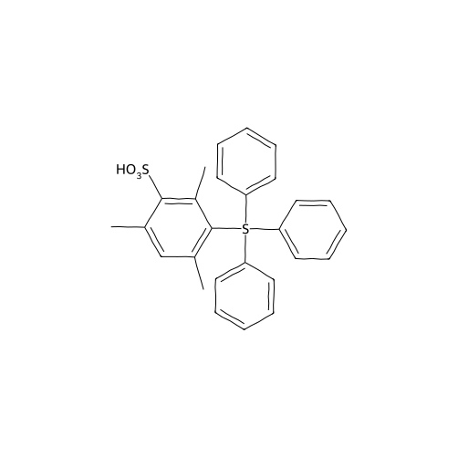 Cc1cc(C)c(S(=O)(=O)O)c(C)c1S(c1ccccc1)(c1ccccc1)c1ccccc1